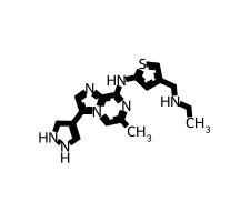 CCNCc1csc(Nc2nc(C)cn3c(C4=CNNC4)cnc23)c1